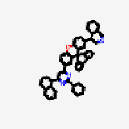 c1ccc(-c2nc(-c3ccc4c(c3)C3(c5cc(-c6cncc7ccccc67)ccc5O4)c4ccccc4-c4ccccc43)cc(-c3cccc4ccccc34)n2)cc1